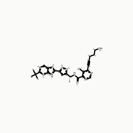 C[C@@H](NC(=O)c1ncnc(C#CCCCO)c1Cl)c1cc(-c2nc3cnc(C(C)(C)C)nc3[nH]2)no1